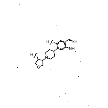 Cc1cc(C=N)c(N)cc1C1CCN(C2COCC2C)CC1